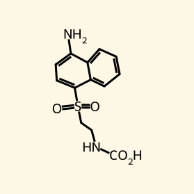 Nc1ccc(S(=O)(=O)CCNC(=O)O)c2ccccc12